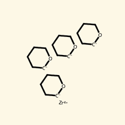 [CH-]1CCCCO1.[CH-]1CCCCO1.[CH-]1CCCCO1.[CH-]1CCCCO1.[Zr+4]